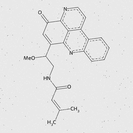 COC(CNC(=O)C=C(C)C)C1=CC(=O)c2nccc3c2c1nc1ccccc13